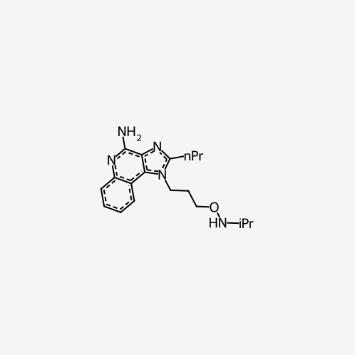 CCCc1nc2c(N)nc3ccccc3c2n1CCCONC(C)C